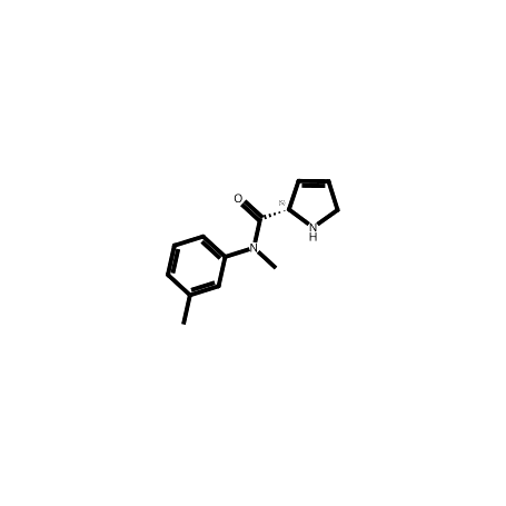 Cc1cccc(N(C)C(=O)[C@@H]2C=CCN2)c1